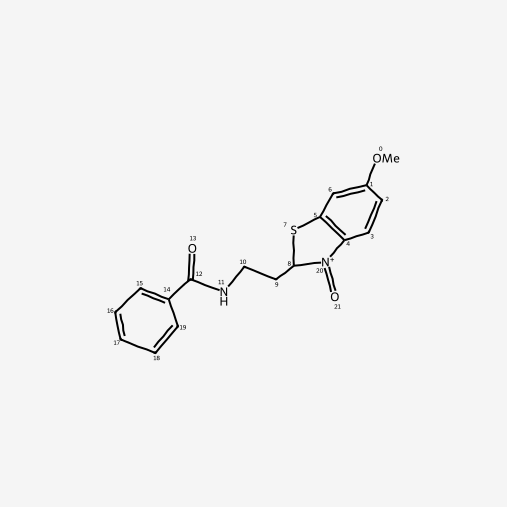 COc1ccc2c(c1)SC(CCNC(=O)c1ccccc1)[N+]2=O